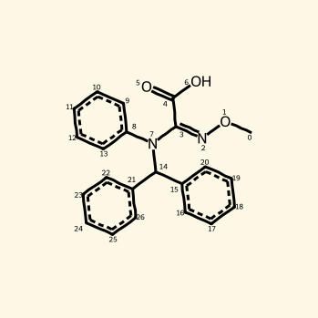 CON=C(C(=O)O)N(c1ccccc1)C(c1ccccc1)c1ccccc1